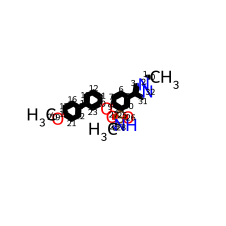 CCn1cc(-c2ccc(Oc3cccc(-c4ccc(OC)cc4)c3)c(S(=O)(=O)NC)c2)cn1